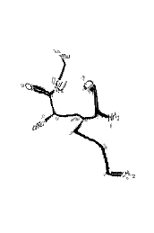 C=CCC[C@H](C(N)=O)[C@H](C(=O)NC(C)(C)C)C(C)(C)C